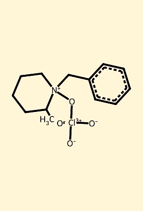 CC1CCCC[N+]1(Cc1ccccc1)O[Cl+3]([O-])([O-])[O-]